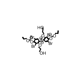 C=CCOC(=O)Oc1c(Br)cc(S(=O)(=O)c2cc(Br)c(OC(=O)OCC=C)c(Br)c2OCCCO)c(OCCCO)c1Br